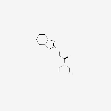 CCN(CC)C(=O)CSC1=NC2CCCCC2N1